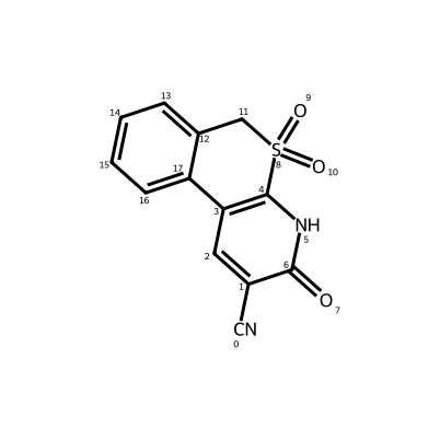 N#Cc1cc2c([nH]c1=O)S(=O)(=O)Cc1ccccc1-2